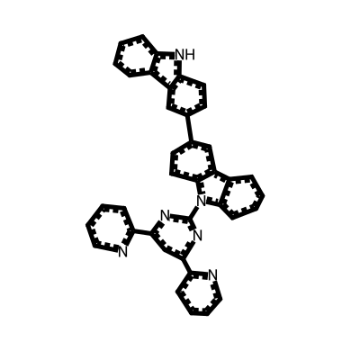 c1ccc(-c2cc(-c3ccccn3)nc(-n3c4ccccc4c4cc(-c5ccc6[nH]c7ccccc7c6c5)ccc43)n2)nc1